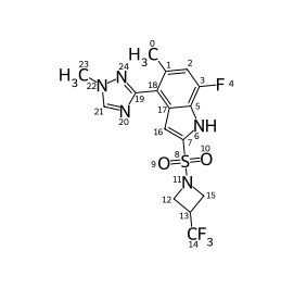 Cc1cc(F)c2[nH]c(S(=O)(=O)N3CC(C(F)(F)F)C3)cc2c1-c1ncn(C)n1